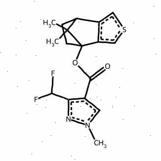 Cn1cc(C(=O)OC23CCC(c4cscc42)C3(C)C)c(C(F)F)n1